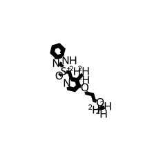 [2H]C([2H])([2H])OCCCOc1ccnc(C[S+]([O-])c2nc3ccccc3[nH]2)c1C([2H])([2H])[2H]